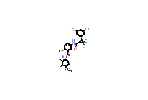 Cc1c(NC(=O)c2cc(NC(=O)C3C(c4cc(Cl)cc(Cl)c4)C3(Cl)Cl)ccc2Cl)ccc([N+](=O)[O-])c1C